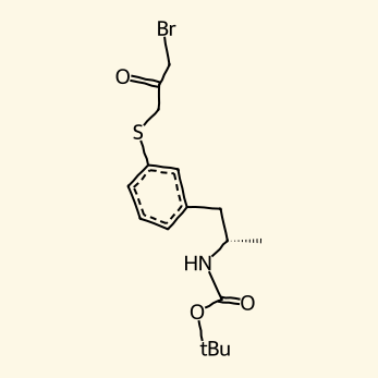 C[C@@H](Cc1cccc(SCC(=O)CBr)c1)NC(=O)OC(C)(C)C